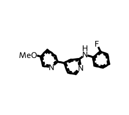 COc1ccc(-c2ccnc(Nc3ccccc3F)c2)nc1